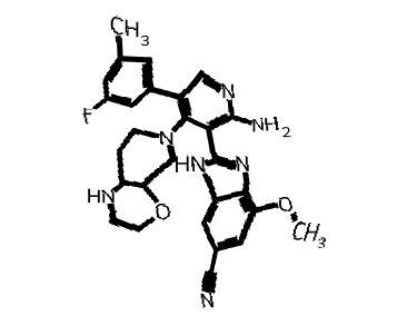 COc1cc(C#N)cc2[nH]c(-c3c(N)ncc(-c4cc(C)cc(F)c4)c3N3CCC4NCCOC4C3)nc12